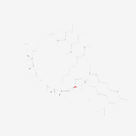 COc1c(N2CC3CCCN(/N=C/C4=C5NC(=O)/C(C)=C\C=C\[C@H](C)[C@H](O)[C@@H](C)[C@@H](O)[C@@H](C)[C@H](OC(C)=O)[C@H](C)[C@@H](OC)/C=C/O[C@@]6(C)Oc7c(C)c(O)c(c(c7C6=O)C4=O)C5=O)C3C2)c(F)cc2c(=O)c(C(=O)O)cn(C3CC3)c12